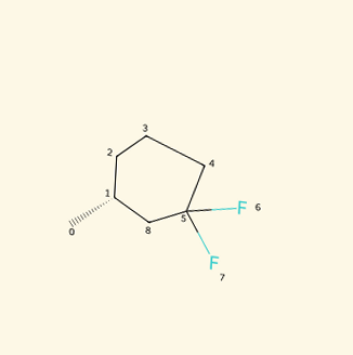 C[C@@H]1CCCC(F)(F)C1